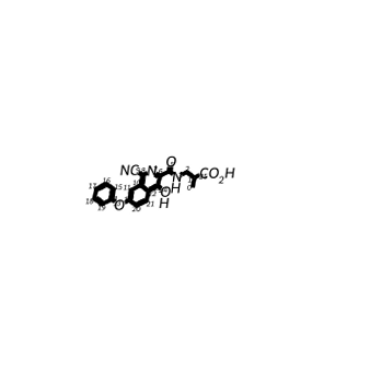 CC(CNC(=O)c1nc(C#N)c2cc(Oc3ccccc3)ccc2c1O)C(=O)O